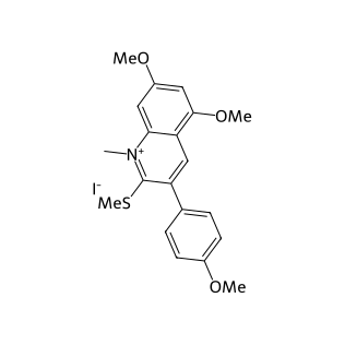 COc1ccc(-c2cc3c(OC)cc(OC)cc3[n+](C)c2SC)cc1.[I-]